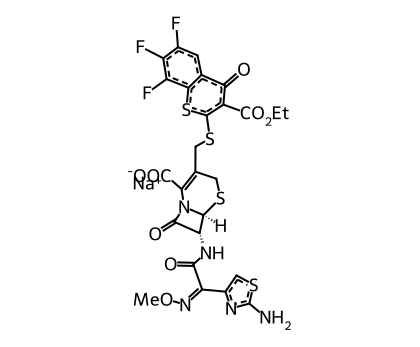 CCOC(=O)c1c(SCC2=C(C(=O)[O-])N3C(=O)[C@@H](NC(=O)/C(=N\OC)c4csc(N)n4)[C@@H]3SC2)sc2c(F)c(F)c(F)cc2c1=O.[Na+]